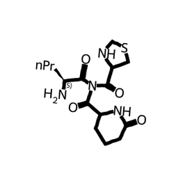 CCC[C@H](N)C(=O)N(C(=O)C1CSCN1)C(=O)C1CCCC(=O)N1